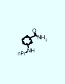 CCCNc1cccc(C(N)=O)c1